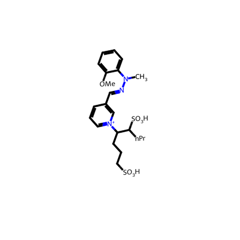 CCCC(C(CCCS(=O)(=O)O)[n+]1cccc(C=NN(C)c2ccccc2OC)c1)S(=O)(=O)O